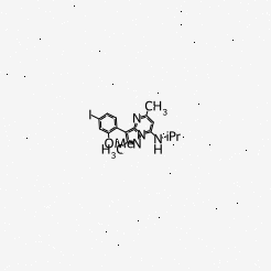 COc1cc(I)ccc1-c1c(C)nn2c(NC(C)C)cc(C)nc12